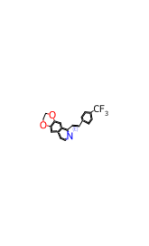 FC(F)(F)c1ccc(/C=C/c2nccc3cc4c(cc23)OCCO4)cc1